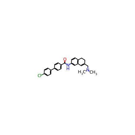 CN(C)CC1=Cc2cc(NC(=O)c3ccc(-c4ccc(Cl)cc4)cc3)ccc2CC1